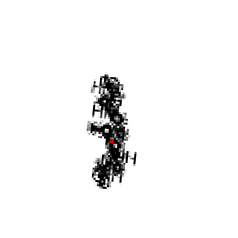 COC(=O)N[C@H](C(=O)N1CCC[C@H]1c1nc2c([nH]1)CC([C@H]1CC[C@H](c3ccc4nc([C@@H]5CCCN5C(=O)[C@@H](NC(=O)OC)C(C)C)[nH]c4c3)N1c1ccc(C3CC3)cc1F)C=C2)C(C)C